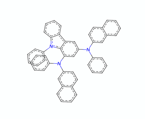 c1ccc(N(c2ccc3ccccc3c2)c2cc(N(c3ccccc3)c3ccc4ccccc4c3)c3c(c2)c2ccccc2n3-c2ccccc2)cc1